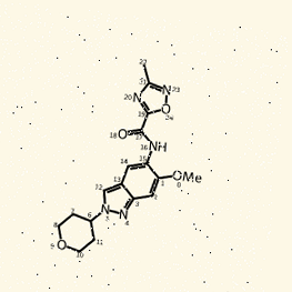 COc1cc2nn(C3CCOCC3)cc2cc1NC(=O)c1nc(C)no1